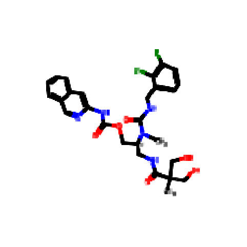 CN(C(=O)NCc1cccc(F)c1Cl)[C@@H](CNC(=O)C(C)(CO)CO)COC(=O)Nc1cc2ccccc2cn1